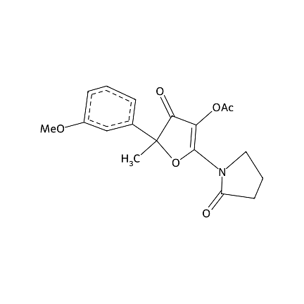 COc1cccc(C2(C)OC(N3CCCC3=O)=C(OC(C)=O)C2=O)c1